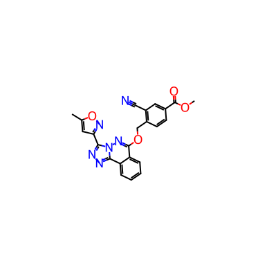 COC(=O)c1ccc(COc2nn3c(-c4cc(C)on4)nnc3c3ccccc23)c(C#N)c1